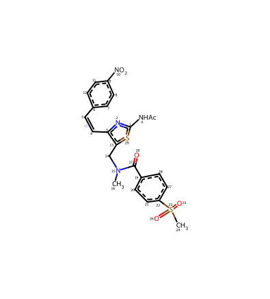 CC(=O)Nc1nc(/C=C\c2ccc([N+](=O)[O-])cc2)c(CN(C)C(=O)c2ccc(S(C)(=O)=O)cc2)s1